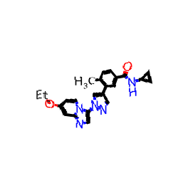 CCOc1ccn2c(-n3cc(-c4cc(C(=O)NC5CC5)ccc4C)cn3)cnc2c1